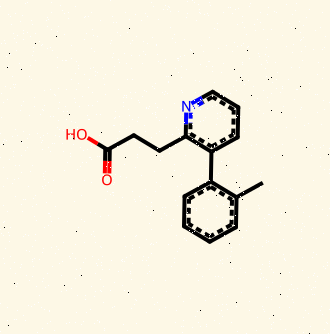 Cc1ccccc1-c1cccnc1CCC(=O)O